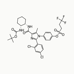 Cc1c(C(=O)N[C@H]2CCCC[C@H]2NC(=O)OC(C)(C)C)nc(-c2ccc(Cl)cc2Cl)n1-c1ccc(OS(=O)(=O)CCC(F)(F)F)cc1